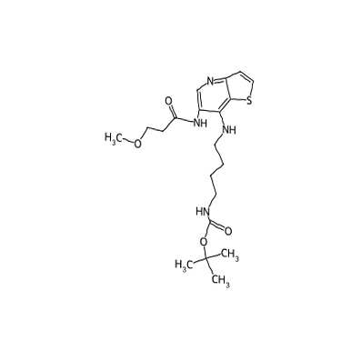 COCCC(=O)Nc1cnc2ccsc2c1NCCCCNC(=O)OC(C)(C)C